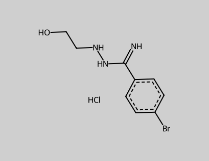 Cl.N=C(NNCCO)c1ccc(Br)cc1